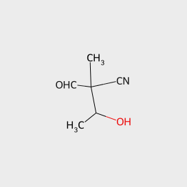 CC(O)C(C)(C#N)C=O